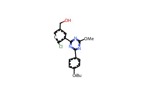 COc1nc(-c2ccc(OCC(C)C)cc2)nc(-c2cc(CO)ccc2Cl)n1